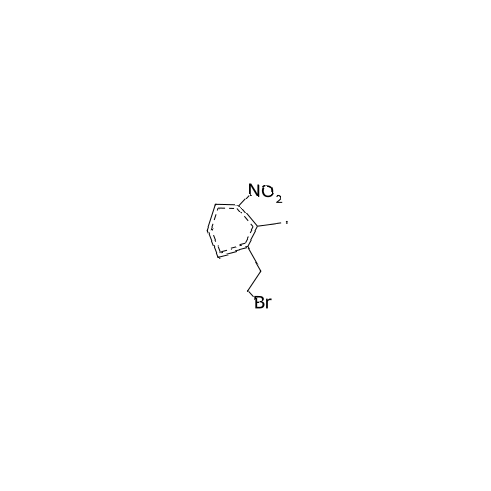 [CH2]c1c(CCBr)cccc1[N+](=O)[O-]